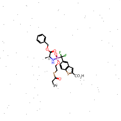 CC(C)CC(=O)SCCOP(=O)(N[C@@H](C)C(=O)OCc1ccccc1)C(F)(F)c1ccc2sc(C(=O)O)cc2c1